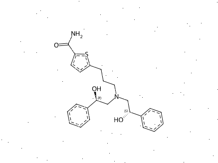 NC(=O)c1ccc(CCCN(C[C@@H](O)c2ccccc2)C[C@H](O)c2ccccc2)s1